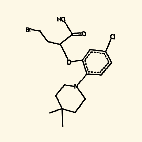 CC1(C)CCN(c2ccc(Cl)cc2OC(CCBr)C(=O)O)CC1